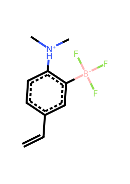 C=Cc1ccc([NH+](C)C)c([B-](F)(F)F)c1